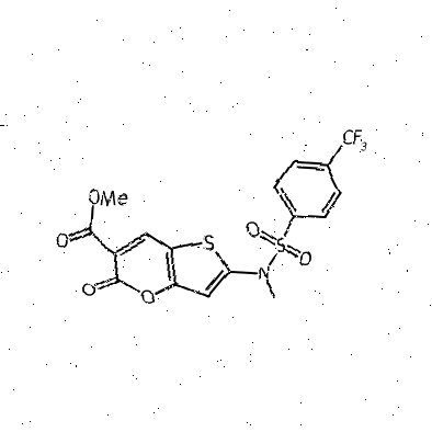 COC(=O)c1cc2sc(N(C)S(=O)(=O)c3ccc(C(F)(F)F)cc3)cc2oc1=O